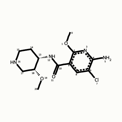 COc1nc(N)c(Cl)cc1C(=O)N[C@H]1CCNC[C@H]1OC